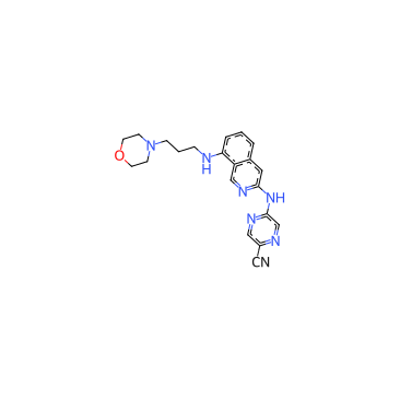 N#Cc1cnc(Nc2cc3cccc(NCCCN4CCOCC4)c3cn2)cn1